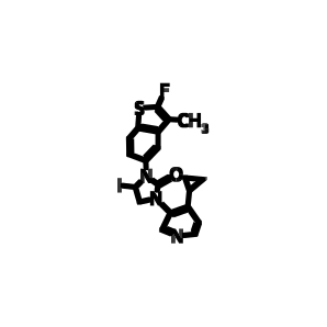 Cc1c(F)sc2ccc(N3C(=O)N(c4cnccc4C4CC4)CC3I)cc12